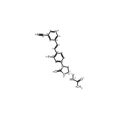 CC(=O)NC[C@H]1CN(c2ccc(C=Cc3cncc(C#N)c3)c(F)c2)C(=O)O1